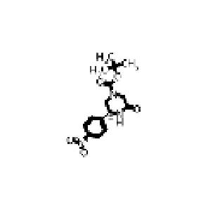 CC(C)(C)OC(=O)N1CC(=O)N[C@@H](c2ccc([N+](=O)[O-])cc2)C1